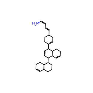 N/C=C\C=C\C1CC=C(C2C=CC(C3CCCC4C=CCCC43)C3C=CCCC23)CC1